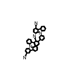 N#Cc1ccc2c(c1)c1ccccc1n2-c1ccccc1-c1cccc(-c2cccc(-n3c4ccccc4c4c(C#N)cccc43)c2)c1C#N